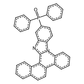 O=P(c1ccccc1)(c1ccccc1)c1ccc2c(c1)nc1c3c4ccccc4ccc3c3ccccc3n21